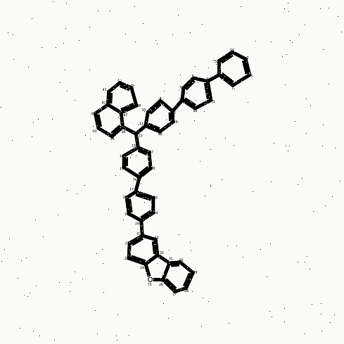 c1ccc(-c2ccc(-c3ccc(C(c4ccc(-c5ccc(-c6ccc7oc8ccccc8c7c6)cc5)cc4)c4cccc5ccccc45)cc3)cc2)cc1